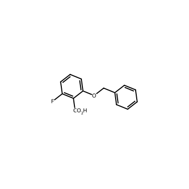 O=C(O)c1c(F)cccc1OCc1ccccc1